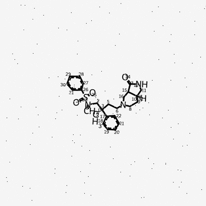 CN(C[C@@](C)(CCN1CC[C@H]2CNC(=O)C2C1)c1ccccc1)S(=O)(=O)c1ccccc1